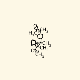 COC(=O)c1c(C)n([C@H](C)C2CCC(N(C)C3(C)COC3)CC2)c2ccccc12